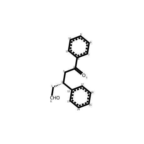 O=CC[C@H](CC(=O)c1ccccc1)c1ccccc1